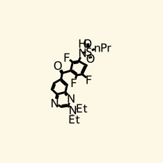 CCCS(=O)(=O)Nc1cc(F)c(F)c(C(=O)c2ccc3ncc(N(CC)CC)nc3c2)c1F